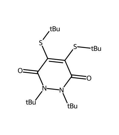 CC(C)(C)Sc1c(SC(C)(C)C)c(=O)n(C(C)(C)C)n(C(C)(C)C)c1=O